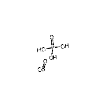 O=P(O)(O)O.[O]=[Co]